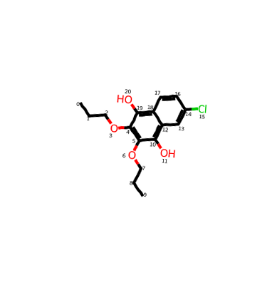 CCCOc1c(OCCC)c(O)c2cc(Cl)ccc2c1O